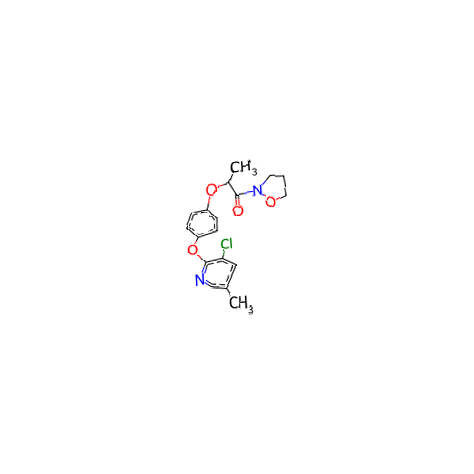 Cc1cnc(Oc2ccc(OC(C)C(=O)N3CCCO3)cc2)c(Cl)c1